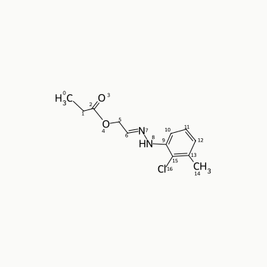 CCC(=O)OCC=NNc1cccc(C)c1Cl